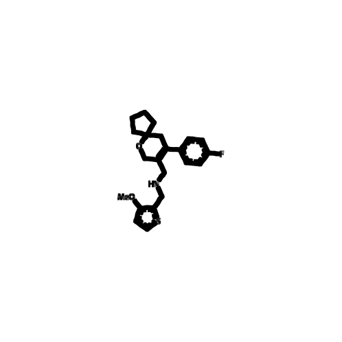 COc1ccsc1CNCC1=C(c2ccc(F)cc2)CC2(CCCC2)OC1